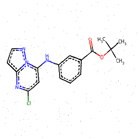 CC(C)(C)OC(=O)c1cccc(Nc2cc(Cl)nc3ccnn23)c1